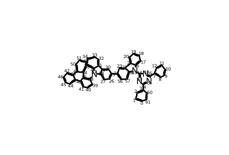 c1ccc(-c2nc(-c3ccccc3)nc(-n3c4ccccc4c4cc(-c5ccc6c(c5)c5ccccc5n6-c5cccc6c7ccccc7c7ccccc7c56)ccc43)n2)cc1